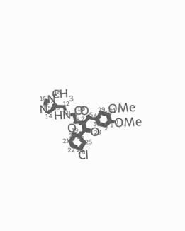 COc1ccc(C(=O)c2c(C(=O)NCc3cncn3C)oc3ccc(Cl)cc3c2=O)cc1OC